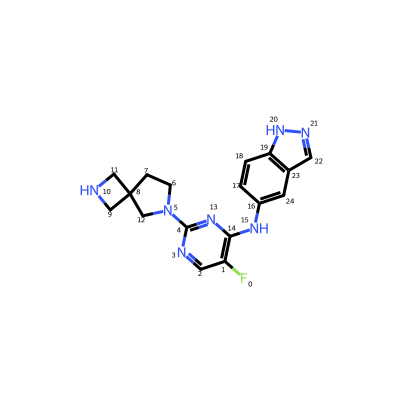 Fc1cnc(N2CCC3(CNC3)C2)nc1Nc1ccc2[nH]ncc2c1